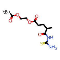 CC(CCC(=O)OCCOC(=O)C(C)(C)C)C(=O)NC(N)=S